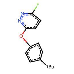 CC(C)(C)c1ccc(Oc2ccc(F)nn2)cc1